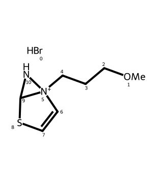 Br.COCCC[N+]12C=CSC1N2